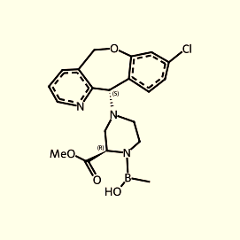 COC(=O)[C@H]1CN([C@H]2c3ccc(Cl)cc3OCc3cccnc32)CCN1B(C)O